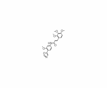 COc1cc(NC(=O)C=Cc2ccc(OC)c(OC)c2OC)ccc1-c1cnco1